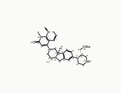 C=Nc1c(/C=C\C)c(N2C[C@@H](C)N3Cc4cc(N5CCNC[C@H]5COC)ccc4[C@H]3C2)cc(=O)n1C